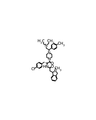 CCN(CC)CC(c1ccc(C)cc1)N1CCN(C(=O)[C@@H](Cc2ccc(Cl)cc2)NC(=O)CC2c3ccccc3CN2C)CC1